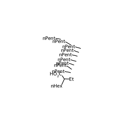 CCCCCC.CCCCCC.CCCCCC.CCCCCC.CCCCCC.CCCCCC.CCCCCC.CCCCCC.CCCCCC.CCCCCCC(CC)C(=O)O